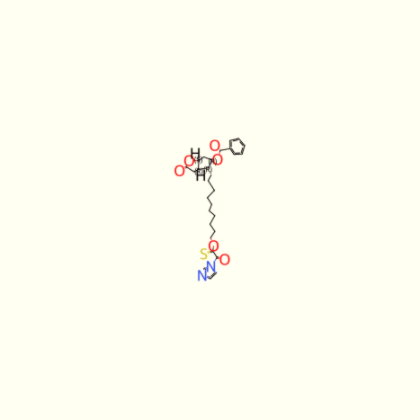 O=C1C[C@@H]2[C@@H](CCCCCCCCCCOC(=S)C(=O)n3ccnc3)[C@H](OC(=O)c3ccccc3)C[C@@H]2O1